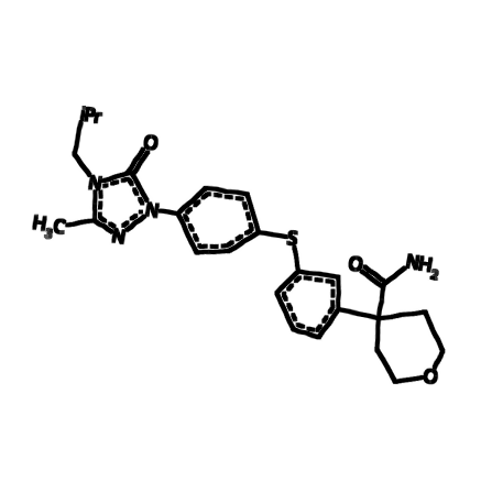 Cc1nn(-c2ccc(Sc3cccc(C4(C(N)=O)CCOCC4)c3)cc2)c(=O)n1CC(C)C